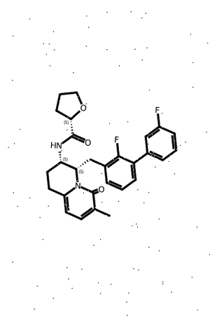 Cc1ccc2n(c1=O)[C@@H](Cc1cccc(-c3cccc(F)c3)c1F)[C@@H](NC(=O)[C@@H]1CCCO1)CC2